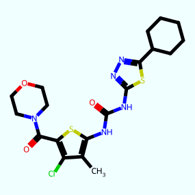 Cc1c(NC(=O)Nc2nnc(C3CCCCC3)s2)sc(C(=O)N2CCOCC2)c1Cl